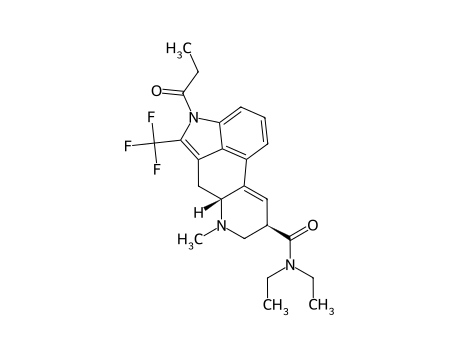 CCC(=O)n1c(C(F)(F)F)c2c3c(cccc31)C1=C[C@@H](C(=O)N(CC)CC)CN(C)[C@@H]1C2